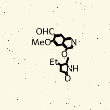 CCC1CC(=O)NC1COc1cncc2cc(C=O)c(OC)cc12